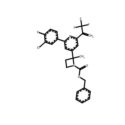 C=C(c1cc(C2(C)CCN2C(=O)OCc2ccccc2)cc(-c2ccc(F)c(Cl)c2)n1)C(F)(F)F